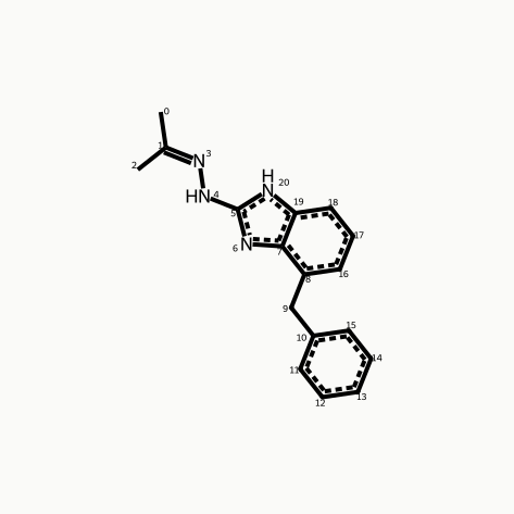 CC(C)=NNc1nc2c(Cc3ccccc3)cccc2[nH]1